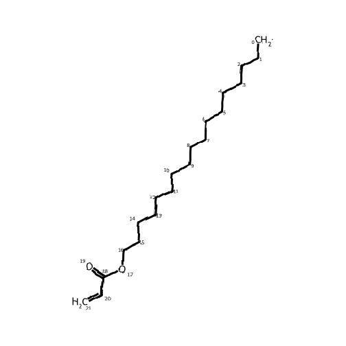 [CH2]CCCCCCCCCCCCCCC[CH]OC(=O)C=C